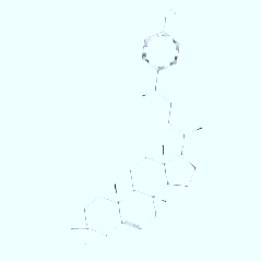 CC[C@]1(O)CC[C@@]2(C)C(=CC[C@H]3[C@@H]4CC[C@H]([C@H](C)CC[C@@H](O)c5ccc(C#N)cc5)[C@@]4(C)CC[C@@H]32)C1